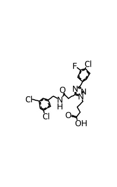 O=C(O)CCCn1nc(-c2ccc(Cl)c(F)c2)nc1CC(=O)NCc1cc(Cl)cc(Cl)c1